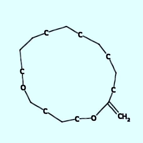 C=C1CCCCCCCCCCOCCCCO1